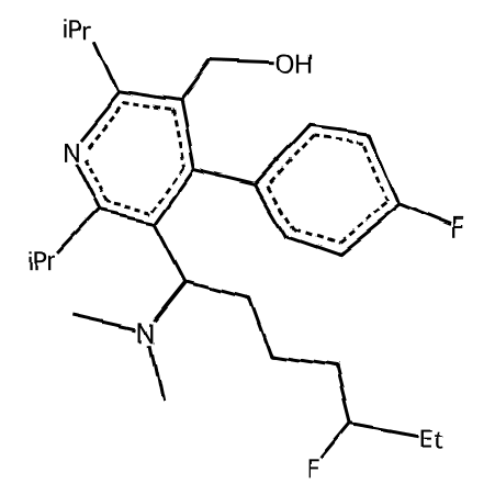 CCC(F)CCCC(c1c(C(C)C)nc(C(C)C)c(CO)c1-c1ccc(F)cc1)N(C)C